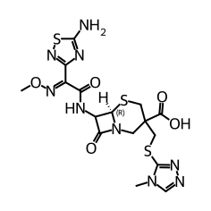 CON=C(C(=O)NC1C(=O)N2CC(CSc3nncn3C)(C(=O)O)CS[C@H]12)c1nsc(N)n1